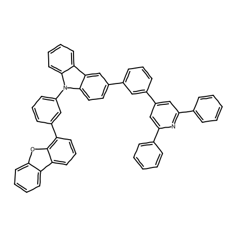 c1ccc(-c2cc(-c3cccc(-c4ccc5c(c4)c4ccccc4n5-c4cccc(-c5cccc6c5oc5ccccc56)c4)c3)cc(-c3ccccc3)n2)cc1